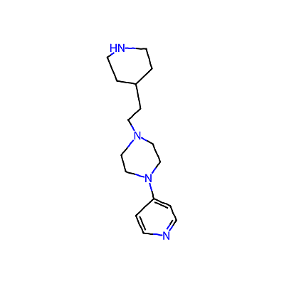 c1cc(N2CCN(CCC3CCNCC3)CC2)ccn1